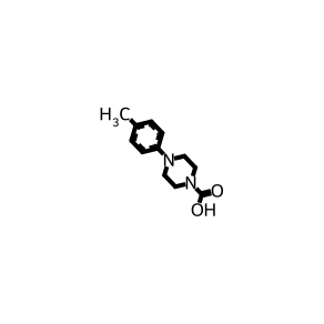 Cc1ccc(N2CCN(C(=O)O)CC2)cc1